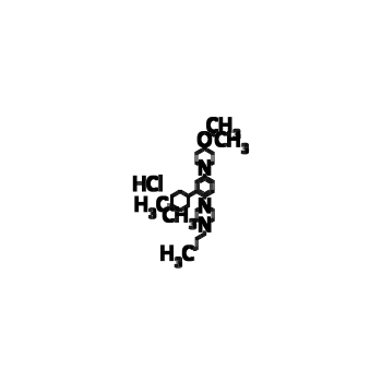 CCCCN1CCN(c2ccc(N3CCC(OC(C)C)CC3)cc2C2CCC(C)(C)CC2)CC1.Cl